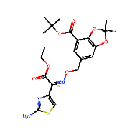 CCOC(=O)/C(=N\OCc1cc2c(c(C(=O)OC(C)(C)C)c1)OC(C)(C)O2)c1csc(N)n1